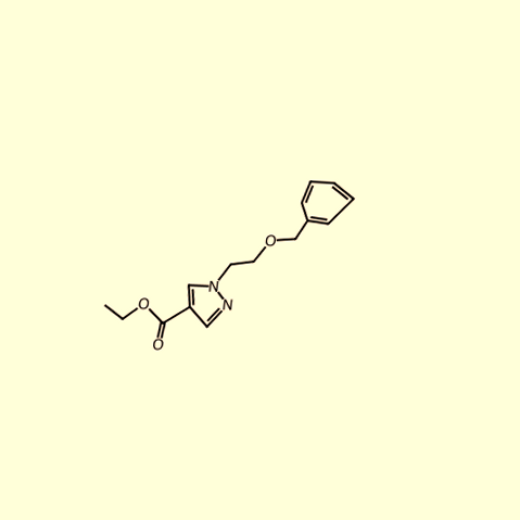 CCOC(=O)c1cnn(CCOCc2ccccc2)c1